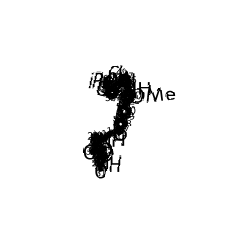 COc1cc(N2CCC(N3CCN(C(=O)CCCNc4cccc5c4C(=O)N(C4CCC(=O)NC4=O)C5=O)CC3)CC2)ccc1Nc1ncc(Cl)c(Nc2ccccc2S(=O)(=O)C(C)C)n1